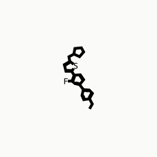 CCc1ccc(-c2ccc(-c3ccc(CC4CCCC4)s3)c(F)c2)cc1